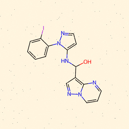 OC(Nc1ccnn1-c1ccccc1I)c1cnn2cccnc12